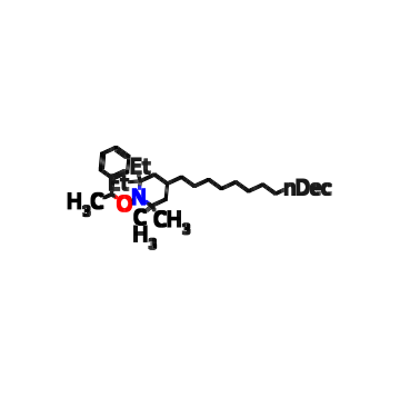 CCCCCCCCCCCCCCCCCCC1CC(C)(C)N(OC(C)c2ccccc2)C(CC)(CC)C1